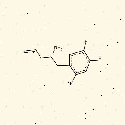 C=CC[C@H](N)Cc1cc(F)c(F)cc1F